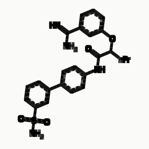 CCCC(Oc1cccc(C(=N)N)c1)C(=O)Nc1ccc(-c2cccc(S(N)(=O)=O)c2)cc1